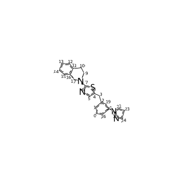 c1cc(Cc2cnc(N3CCc4ccccc4C3)s2)cc(-n2cccn2)c1